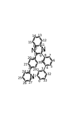 c1ccc(-c2cccc(-c3nc4ccccc4nc3-c3ccc(-c4ccccn4)cc3)c2)cc1